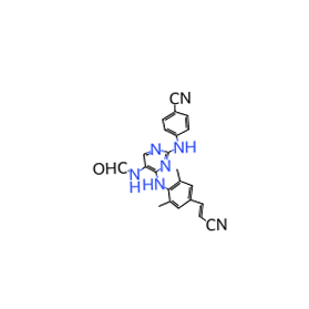 Cc1cc(/C=C/C#N)cc(C)c1Nc1nc(Nc2ccc(C#N)cc2)ncc1NC=O